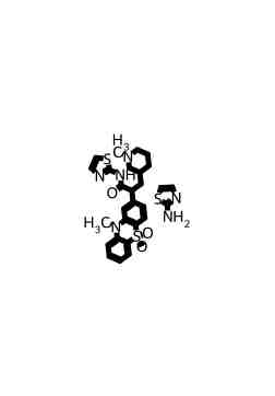 CN1CCCC(CC(C(=O)Nc2nccs2)c2ccc3c(c2)N(C)c2ccccc2S3(=O)=O)C1.Nc1nccs1